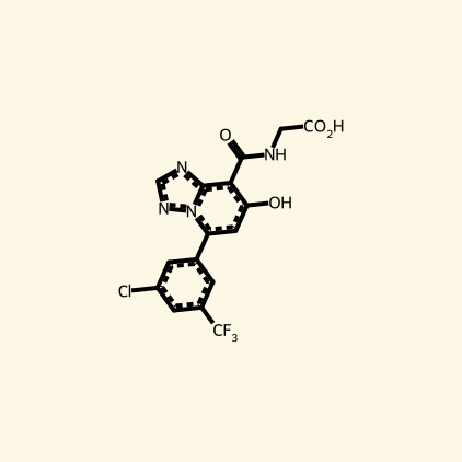 O=C(O)CNC(=O)c1c(O)cc(-c2cc(Cl)cc(C(F)(F)F)c2)n2ncnc12